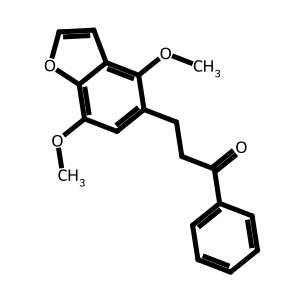 COc1c(CCC(=O)c2ccccc2)cc(OC)c2occc12